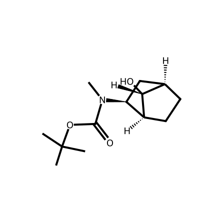 CN(C(=O)OC(C)(C)C)[C@H]1C[C@H]2CC[C@@H]1[C@@H]2O